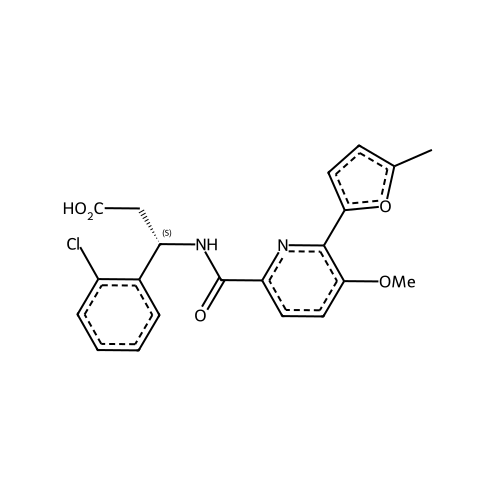 COc1ccc(C(=O)N[C@@H](CC(=O)O)c2ccccc2Cl)nc1-c1ccc(C)o1